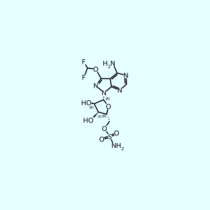 Nc1ncnc2c1c(OC(F)F)nn2[C@@H]1O[C@H](COS(N)(=O)=O)[C@@H](O)[C@H]1O